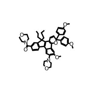 CCCC1(CCC)c2cc(C(=O)N3CCOCC3)ccc2-c2c1c1c(c3cc(OC)c(N4CCOCC4)cc23)OC(c2ccc(OC)cc2)(c2ccc(OC)cc2)C=C1